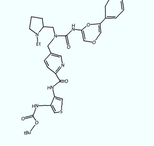 CCN1CCCC1CN(Cc1ccc(C(=O)Nc2cscc2NC(=O)OC(C)(C)C)nc1)C(=O)NC1=COC=C(C2=CC=CCC2)O1